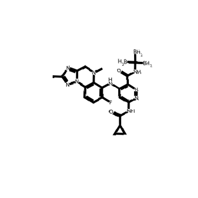 BC(B)(B)NC(=O)c1nnc(NC(=O)C2CC2)cc1Nc1c(F)ccc2c1N(C)Cc1nc(C)nn1-2